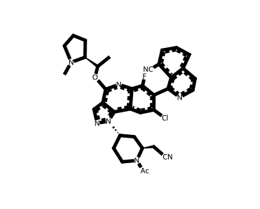 CC(=O)N1CC[C@H](n2ncc3c(OC(C)[C@@H]4CCCN4C)nc4c(F)c(-c5nccc6cccc(C#N)c56)c(Cl)cc4c32)C[C@H]1CC#N